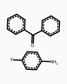 Nc1ccc(F)cc1.O=C(c1ccccc1)c1ccccc1